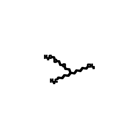 CCCCCCC(CCCCC)CCOCCOCC